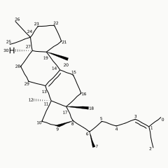 CC(C)=CCC[C@@H](C)[C@H]1CC[C@@]2(C)C3=C(CC[C@]12C)[C@@]1(C)CCCC(C)(C)[C@@H]1CC3